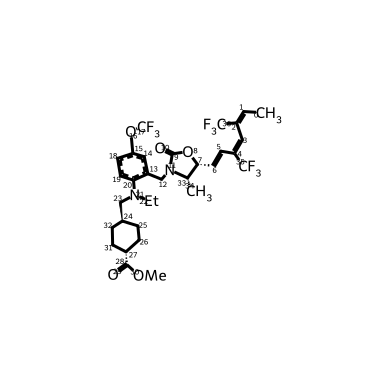 C\C=C(/C=C(\C=C\[C@H]1OC(=O)N(Cc2cc(OC(F)(F)F)ccc2N(CC)C[C@H]2CC[C@H](C(=O)OC)CC2)[C@H]1C)C(F)(F)F)C(F)(F)F